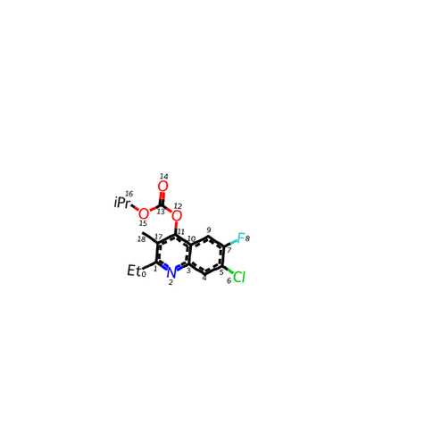 CCc1nc2cc(Cl)c(F)cc2c(OC(=O)OC(C)C)c1C